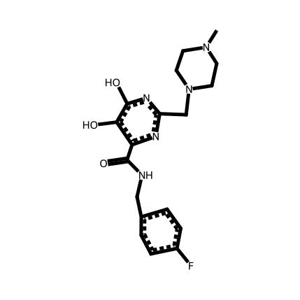 CN1CCN(Cc2nc(O)c(O)c(C(=O)NCc3ccc(F)cc3)n2)CC1